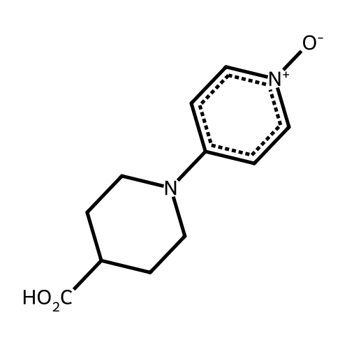 O=C(O)C1CCN(c2cc[n+]([O-])cc2)CC1